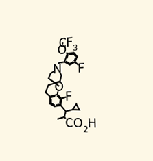 CC(C(=O)O)C(c1ccc2c(c1F)OC1(CC2)CCN(Cc2cc(F)ccc2OC(F)(F)F)CC1)C1CC1